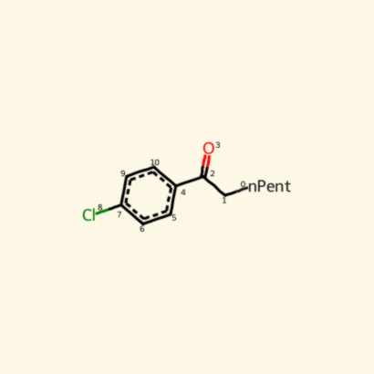 [CH2]CCCCCC(=O)c1ccc(Cl)cc1